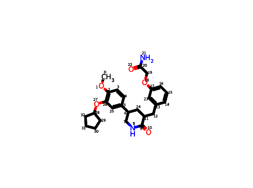 COc1ccc(C2CNC(=O)C(Cc3cccc(OCC(N)=O)c3)C2)cc1OC1CCCC1